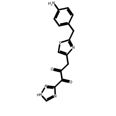 Nc1ccc(Cc2nc(CC(=O)C(=O)c3nc[nH]n3)cs2)cc1